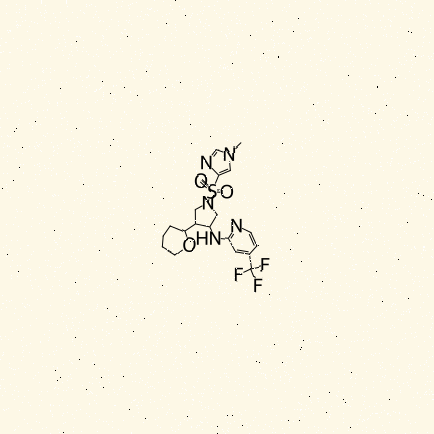 Cn1cnc(S(=O)(=O)N2CC(Nc3cc(C(F)(F)F)ccn3)C(C3CCCCO3)C2)c1